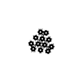 c1ccc(N2c3cc(-n4c5ccccc5c5ccccc54)cc4c3B3c5c2cc(-n2c6ccccc6c6ccccc62)cc5N(c2ccccc2)c2cc(-n5c6ccccc6c6ccccc65)cc(c23)N4c2ccccc2)cc1